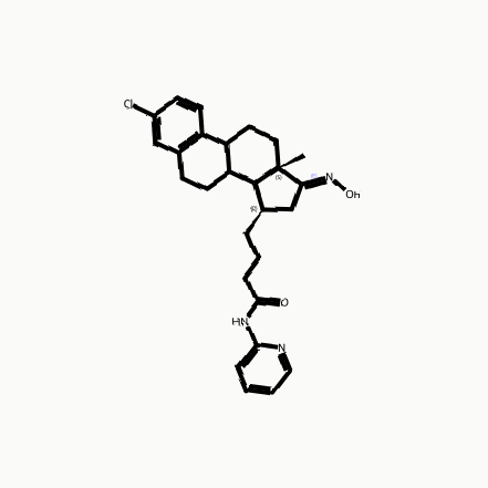 C[C@]12CCC3c4ccc(Cl)cc4CCC3C1[C@H](CCCC(=O)Nc1ccccn1)C/C2=N\O